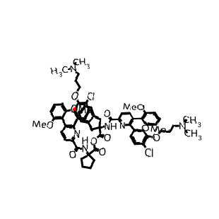 COc1cccc(OC)c1-c1ccc(C(=O)NC2(C(=O)OC(=O)C3(NC(=O)c4ccc(-c5c(OC)cccc5OC)c(-c5ccc(Cl)c(OCCCN(C)C)c5)n4)Cc4ccccc4C3)CCCC2)nc1-c1ccc(Cl)c(OCCCN(C)C)c1